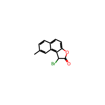 Cc1ccc2ccc3c(c2c1)C(Br)C(=O)O3